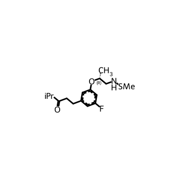 CSNC[C@@H](C)Oc1cc(F)cc(CCC(=O)C(C)C)c1